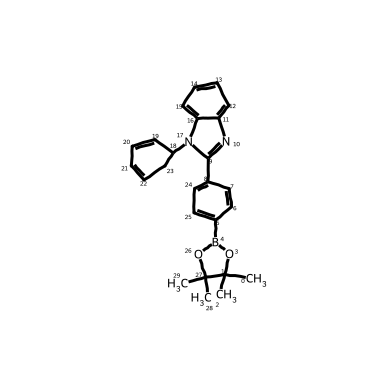 CC1(C)OB(c2ccc(-c3nc4ccccc4n3C3C=CC=CC3)cc2)OC1(C)C